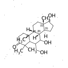 CC1(C)C(=O)CC[C@@]2(C)C1C(CO)C(O)[C@@H]1[C@H]2CC[C@]2(C)C(O)CC[C@@H]12